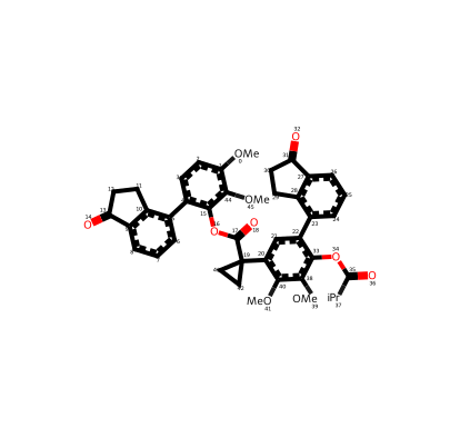 COc1ccc(-c2cccc3c2CCC3=O)c(OC(=O)C2(c3cc(-c4cccc5c4CCC5=O)c(OC(=O)C(C)C)c(OC)c3OC)CC2)c1OC